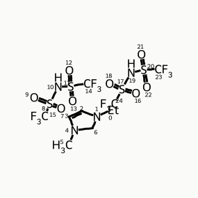 CCN1C=CN(C)C1.O=S(=O)(NS(=O)(=O)C(F)(F)F)C(F)(F)F.O=S(=O)(NS(=O)(=O)C(F)(F)F)C(F)(F)F